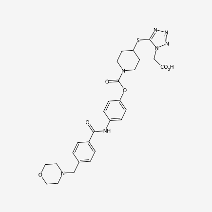 O=C(O)Cn1nnnc1SC1CCN(C(=O)Oc2ccc(NC(=O)c3ccc(CN4CCOCC4)cc3)cc2)CC1